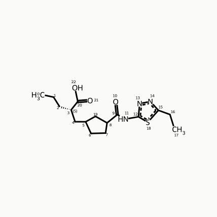 CCC[C@@H](CC1CCC(C(=O)Nc2nnc(CC)s2)C1)C(=O)O